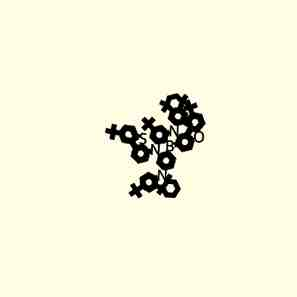 Cc1cc2c(cc1N1c3cc(C(C)(C)C)cc4c3B(c3ccc(N5c6ccc(C(C)(C)C)cc6C6(C)CCCCC56C)cc3N4c3cccc4c3sc3ccc(C(C)(C)C)cc34)c3ccc4oc5ccc(C(C)(C)C)cc5c4c31)C(C)(C)CCC2(C)C